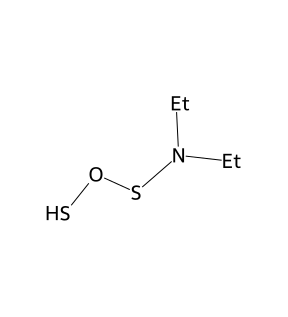 CCN(CC)SOS